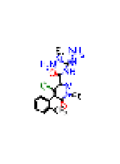 CCN(N)/C(=N\N)NC(=O)c1nn(CC)c(=O)c(-c2ccccc2C(F)(F)F)c1Cl